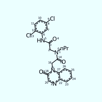 CCCN(CC(=O)Nc1cc(Cl)ccc1Cl)C(=O)Cn1c(=O)cnc2ccccc21